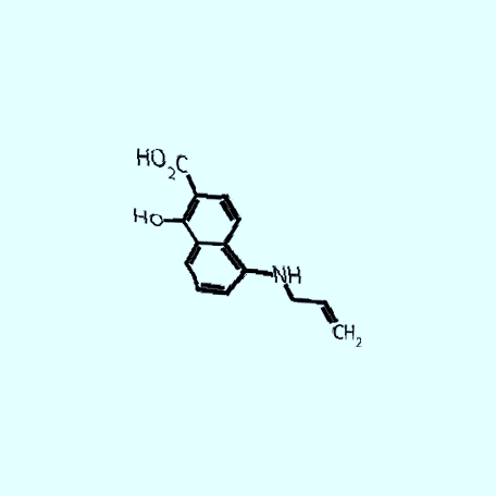 C=CCNc1cccc2c(O)c(C(=O)O)ccc12